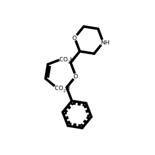 O=C(O)/C=C\C(=O)O.c1ccc(COCC2CNCCO2)cc1